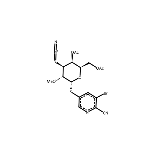 CO[C@@H]1[C@@H](N=[N+]=[N-])[C@@H](OC(C)=O)[C@@H](COC(C)=O)O[C@@H]1Sc1cnc(C#N)c(Br)c1